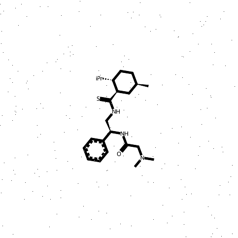 CC(C)[C@@H]1CC[C@@H](C)C[C@H]1C(=S)NC[C@@H](NC(=O)CN(C)C)c1ccccc1